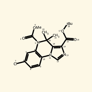 COC(=O)N1c2cc(Cl)ccc2-n2cnc(C(=O)OC(C)(C)C)c2C1(C)C